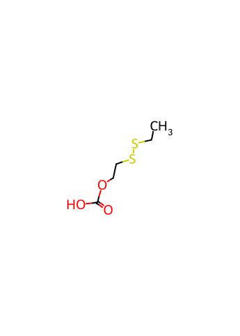 CCSSCCOC(=O)O